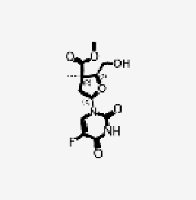 COC(=O)[C@]1(C)C[C@H](n2cc(F)c(=O)[nH]c2=O)O[C@@H]1CO